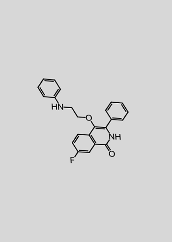 O=c1[nH]c(-c2ccccc2)c(OCCNc2ccccc2)c2ccc(F)cc12